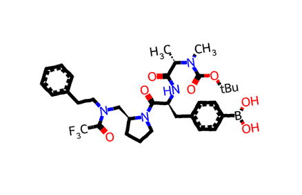 C[C@@H](C(=O)N[C@@H](Cc1ccc(B(O)O)cc1)C(=O)N1CCC[C@H]1CN(CCc1ccccc1)C(=O)C(F)(F)F)N(C)C(=O)OC(C)(C)C